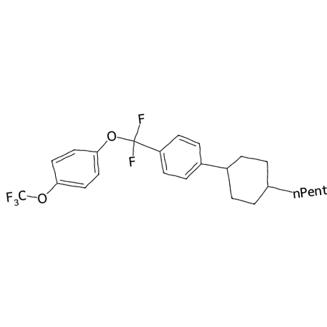 CCCCCC1CCC(c2ccc(C(F)(F)Oc3ccc(OC(F)(F)F)cc3)cc2)CC1